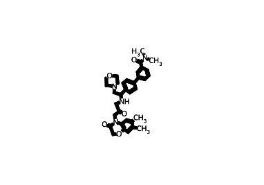 Cc1cc2c(cc1C)N(CC(=O)CNC(CN1CCOCC1)c1ccc(-c3cccc(C(=O)N(C)C)c3)cc1)C(=O)CO2